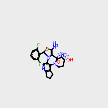 NC(=O)C1=C(N)SC(c2c(F)cccc2F)N1c1cnc2c(c1N1CC[C@@H](O)[C@@H](N)C1)CCC2